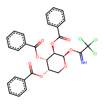 N=C(O[C@H]1OC[C@H](OC(=O)c2ccccc2)[C@H](OC(=O)c2ccccc2)[C@H]1OC(=O)c1ccccc1)C(Cl)(Cl)Cl